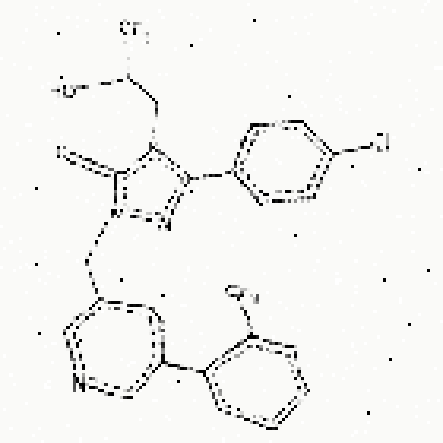 O=c1n(Cc2cncc(-c3ccccc3C(F)(F)F)c2)nc(-c2ccc(Cl)cc2)n1CC(O)C(F)(F)F